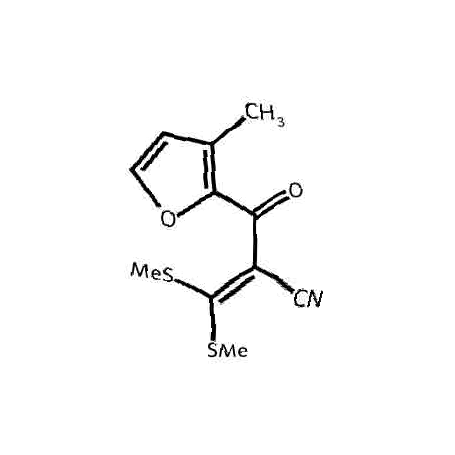 CSC(SC)=C(C#N)C(=O)c1occc1C